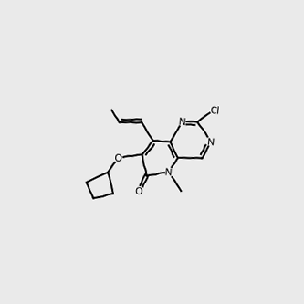 CC=Cc1c(OC2CCC2)c(=O)n(C)c2cnc(Cl)nc12